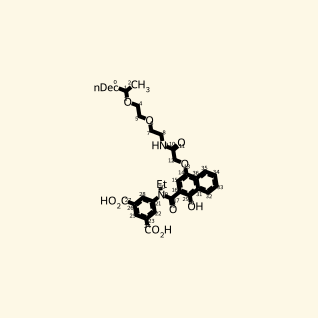 CCCCCCCCCCC(C)OCCOCCNC(=O)COc1cc(C(=O)N(CC)c2cc(C(=O)O)cc(C(=O)O)c2)c(O)c2ccccc12